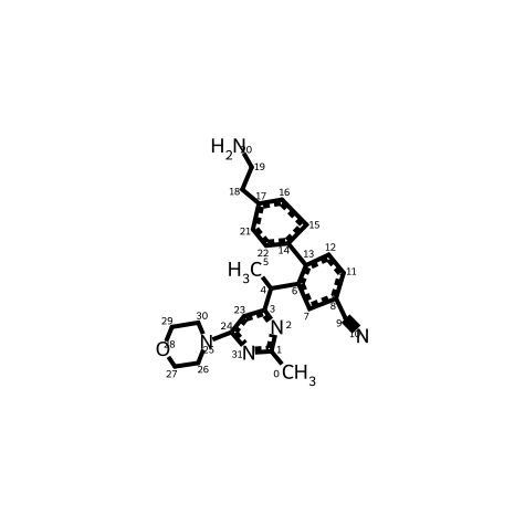 Cc1nc(C(C)c2cc(C#N)ccc2-c2ccc(CCN)cc2)cc(N2CCOCC2)n1